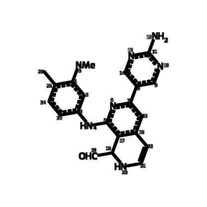 CNc1cc(Nc2nc(-c3cnc(N)nc3)cc3c2C(C=O)NC=C3)ccc1C